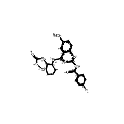 COc1ccc2nc(NC(=O)c3ccc(Cl)cc3)nc(NC3CCCCC3NC(=O)OC(C)(C)C)c2c1